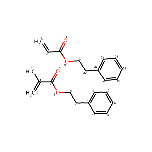 C=C(C)C(=O)OCCc1ccccc1.C=CC(=O)OCCc1ccccc1